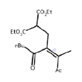 CCCCC(=O)/C(CC(C(=O)OCC)C(=O)OCC)=C(/C)C(C)=O